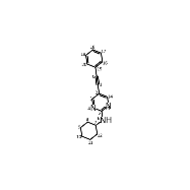 C(#Cc1cnc(NC2CCCCC2)nc1)c1ccccc1